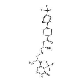 CC(COCC(N)CC(=O)N1CCN(c2ncc(C(F)(F)F)cn2)CC1)Nc1cn[nH]c(=O)c1C(F)(F)F